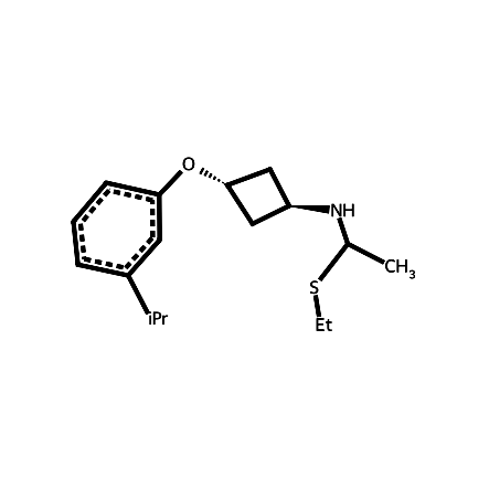 CCSC(C)N[C@H]1C[C@H](Oc2cccc(C(C)C)c2)C1